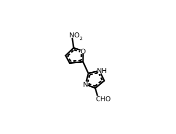 O=Cc1c[nH]c(-c2ccc([N+](=O)[O-])o2)n1